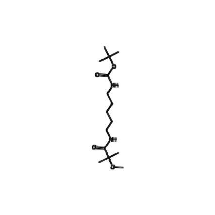 COC(C)(C)C(=O)NCCCCCNC(=O)OC(C)(C)C